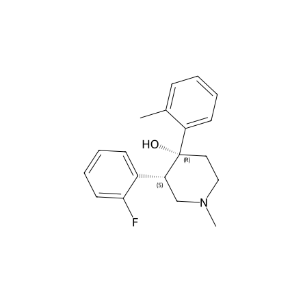 Cc1ccccc1[C@@]1(O)CCN(C)C[C@@H]1c1ccccc1F